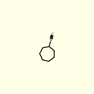 [C-]#[N+]C1CCCCCC1